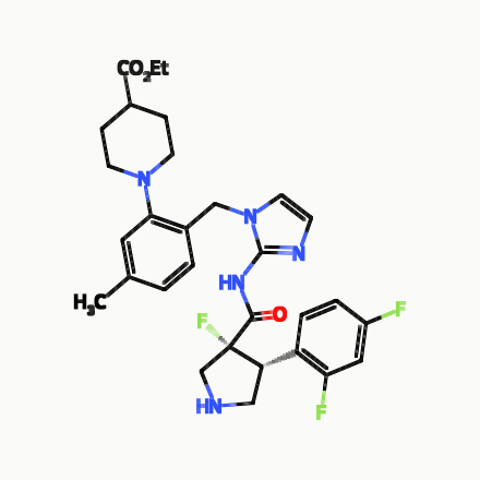 CCOC(=O)C1CCN(c2cc(C)ccc2Cn2ccnc2NC(=O)[C@]2(F)CNC[C@H]2c2ccc(F)cc2F)CC1